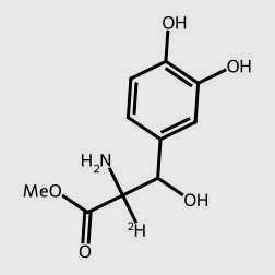 [2H]C(N)(C(=O)OC)C(O)c1ccc(O)c(O)c1